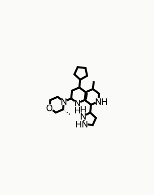 CC1CNC(C2CCNN2)C2=C1C(C1CCCC1)CC(N1CCOC[C@H]1C)N2